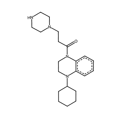 O=C(CCN1CCNCC1)N1CCN(C2CCCCC2)c2ccccc21